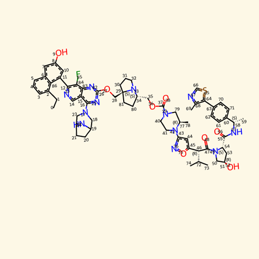 CCc1cccc2cc(O)cc(-c3ncc4c(N5CC6CCC(C5)N6)nc(OC[C@@]56CCCN5[C@H](COC(=O)N5CCN(c7cc([C@H](C(=O)N8C[C@H](O)C[C@H]8C(=O)N[C@@H](C)c8ccc(-c9scnc9C)cc8)C(C)C)on7)[C@H](C)C5)CC6)nc4c3F)c12